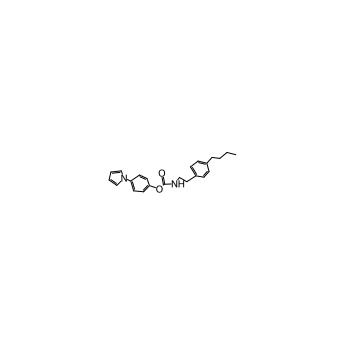 CCCCc1ccc(CCNC(=O)Oc2ccc(-n3cccc3)cc2)cc1